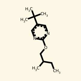 CCC(C)COc1ncc(C(C)(C)C)cn1